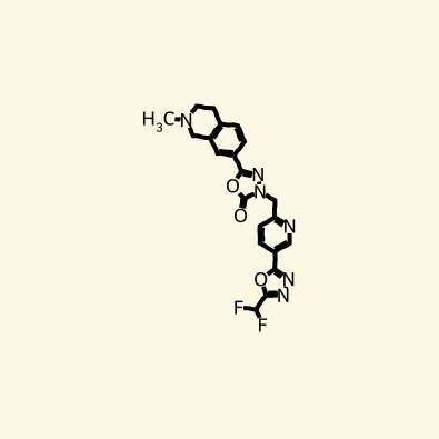 CN1CCc2ccc(-c3nn(Cc4ccc(-c5nnc(C(F)F)o5)cn4)c(=O)o3)cc2C1